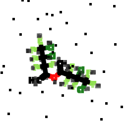 C=C(OC(=C)C(F)(F)C(F)(Cl)C(F)(F)Cl)C(F)(F)C(F)(Cl)C(F)(F)Cl